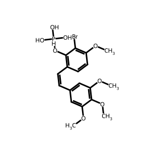 COc1ccc(/C=C\c2cc(OC)c(OC)c(OC)c2)c(O[PH](O)(O)O)c1Br